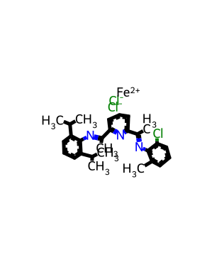 C/C(=N\c1c(C)cccc1Cl)c1cccc(/C(C)=N/c2c(C(C)C)cccc2C(C)C)n1.[Cl-].[Cl-].[Fe+2]